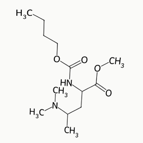 CCCCOC(=O)NC(CC(C)N(C)C)C(=O)OC